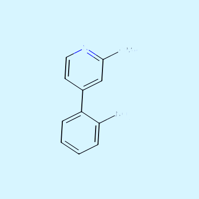 COc1cc(-c2ccccc2[N+](=O)[O-])ccn1